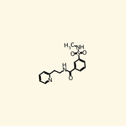 CNS(=O)(=O)c1cccc(C(=O)NCCc2ccccn2)c1